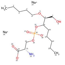 CCCCCO[C@@H](CO)C(CCCCC)OP(=O)([O-])OC[C@H](N)C(=O)[O-].[Na+].[Na+]